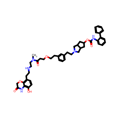 CN(CCNCCc1ccc(O)c2c1OCC(=O)N2)C(=O)CCOCCc1cccc(CCN2CC3CC(OC(=O)Nc4ccccc4-c4ccccc4)CC3C2)c1